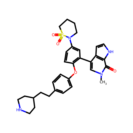 Cn1cc(-c2cc(N3CCCCS3(=O)=O)ccc2Oc2ccc(CCC3CCNCC3)cc2)c2cc[nH]c2c1=O